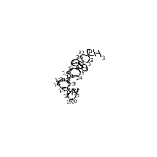 Cc1ccc(S(=O)(=O)c2ccc(-c3cccc(-c4ccccn4)c3)cc2)cc1